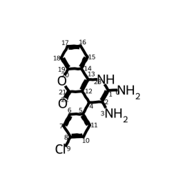 NC1=C(N)C(c2ccc(Cl)cc2)c2c(c3ccccc3oc2=O)N1